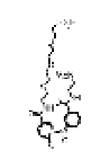 CNCCNC(=O)c1cccc([S+]([O-])n2cc(C(=O)NCCOCCOCCOCCC(=O)O)ccc2=O)c1